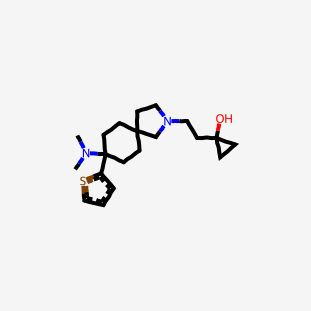 CN(C)C1(c2cccs2)CCC2(CCN(CCC3(O)CC3)C2)CC1